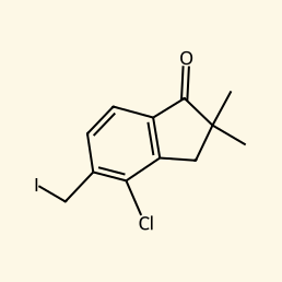 CC1(C)Cc2c(ccc(CI)c2Cl)C1=O